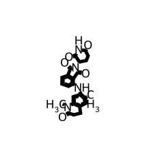 Cc1cc2c(cc1Nc1cccc3c1C(=O)N(C1CCC(=O)NC1=O)C3=O)N(C)C(=O)CC2